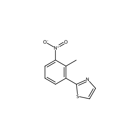 Cc1c(-c2nccs2)cccc1[N+](=O)[O-]